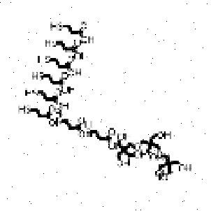 O=C(O)CCS.O=C(O)CCS.O=C(O)CCS.O=C(O)CCS.O=C(O)CCS.O=C(O)CCS.O=C(O)CCS.O=C(O)CCS.OCC(CO)(CO)COCC(CO)(CO)COCC(CO)(CO)CO